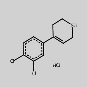 Cl.Clc1ccc(C2=CCNCC2)cc1Cl